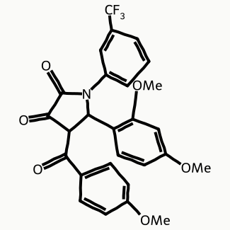 COc1ccc(C(=O)C2C(=O)C(=O)N(c3cccc(C(F)(F)F)c3)C2c2ccc(OC)cc2OC)cc1